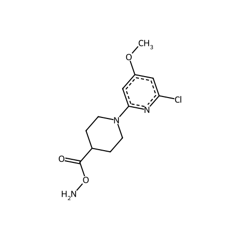 COc1cc(Cl)nc(N2CCC(C(=O)ON)CC2)c1